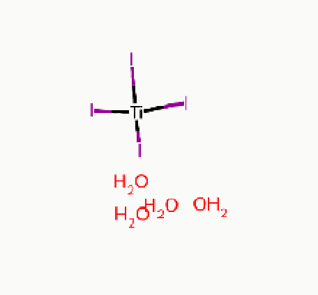 O.O.O.O.[I][Ti]([I])([I])[I]